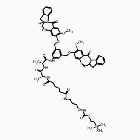 COc1cc2c(cc1OCc1cc(COc3cc4c(cc3OC)C(=O)N3c5ccccc5C[C@H]3CN4)cc(NC(=O)[C@H](C)NC(=O)[C@H](C)NC(=O)CCCCC(=O)NCCCONC(=O)OCC[Si](C)(C)C)c1)N=CC1Cc3ccccc3N1C2=O